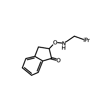 CC(C)CNOC1Cc2ccccc2C1=O